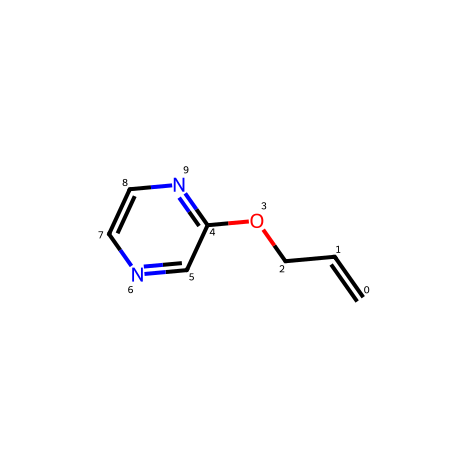 C=CCOc1cnccn1